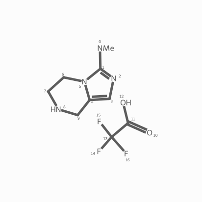 CNc1ncc2n1CCNC2.O=C(O)C(F)(F)F